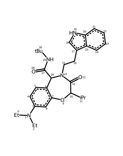 CCN(CC)c1ccc2c(c1)OC(C(C)C)C(=O)N(CCc1c[nH]c3ccccc13)C2C(=O)NC(C)(C)C